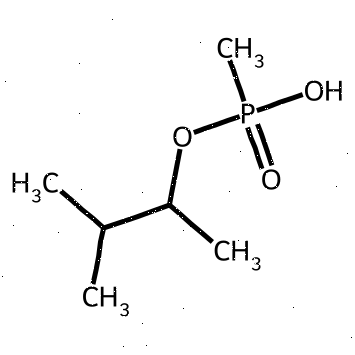 CC(C)C(C)OP(C)(=O)O